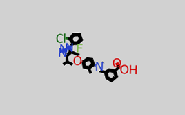 Cc1cc(OCc2c(C(C)C)nnn2-c2c(F)cccc2Cl)ccc1N(C)Cc1cccc(C(=O)O)c1